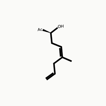 C=CCC(C)=CC[C@H](O)C(C)=O